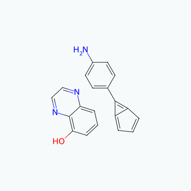 Nc1ccc(-c2c3cccc2-3)cc1.Oc1cccc2nccnc12